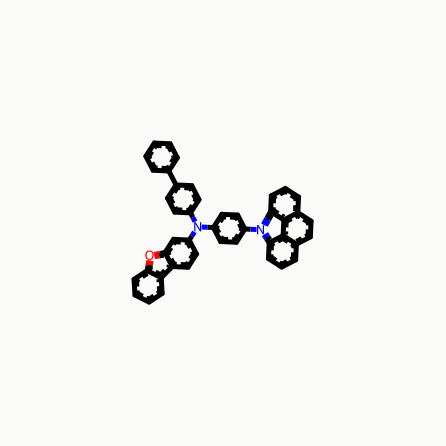 c1ccc(-c2ccc(N(c3ccc(-n4c5cccc6ccc7cccc4c7c65)cc3)c3ccc4c(c3)oc3ccccc34)cc2)cc1